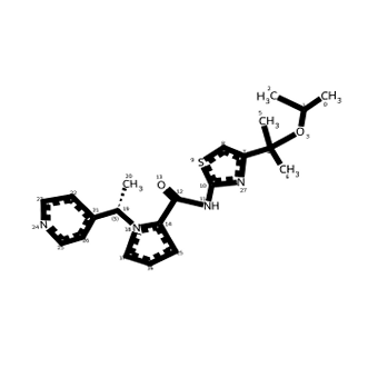 CC(C)OC(C)(C)c1csc(NC(=O)c2cccn2[C@@H](C)c2ccncc2)n1